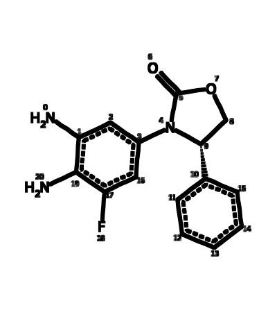 Nc1cc(N2C(=O)OC[C@@H]2c2ccccc2)cc(F)c1N